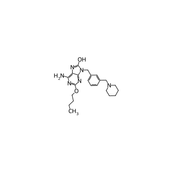 CCCCOc1nc(N)c2nc(O)n(Cc3cccc(CN4CCCCC4)c3)c2n1